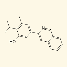 Cc1cc(-c2cc3ccccc3cn2)cc(O)c1C(C)C